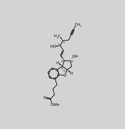 CC#CC[C@H](C)[C@H](O)/C=C/[C@@H]1[C@H]2c3cccc(CCCC(=O)OC)c3O[C@H]2C[C@H]1O